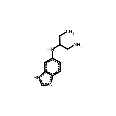 CCC(CN)Nc1ccc2nc[nH]c2c1